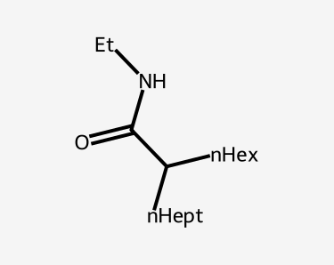 CCCCCCCC(CCCCCC)C(=O)NCC